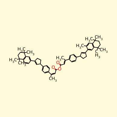 CC(=CC(=O)OC(=O)C=C(C)c1ccc(C2C=C(c3cc4c(cc3C)C(C)(C)CCC4(C)C)CC2)cc1)c1ccc(C2C=C(c3ccc4c(c3)C(C)(C)CCC4(C)C)CC2)cc1